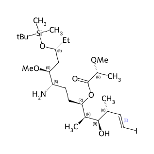 CC[C@H](C[C@H](OC)[C@@H](N)CC[C@@H](OC(=O)[C@@H](C)OC)[C@H](C)[C@H](O)[C@H](C)/C=C/I)O[Si](C)(C)C(C)(C)C